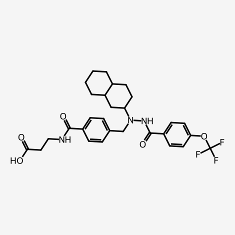 O=C(O)CCNC(=O)c1ccc(CN(NC(=O)c2ccc(OC(F)(F)F)cc2)C2CCC3CCCCC3C2)cc1